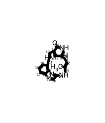 C/C1=C\C[C@H]2CNC(=O)c3cc([nH]c32)-c2cccc3ncc(nc23)NC1